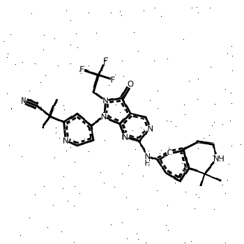 CC(C)(C#N)c1cc(-n2c3nc(Nc4ccc5c(c4)CCNC5(C)C)ncc3c(=O)n2CC(F)(F)F)ccn1